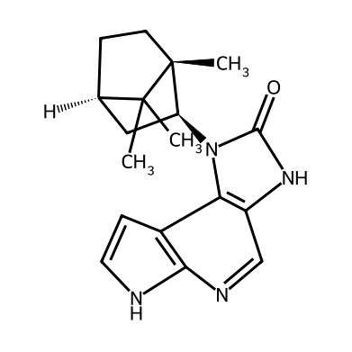 CC1(C)[C@@H]2CC[C@]1(C)[C@@H](n1c(=O)[nH]c3cnc4[nH]ccc4c31)C2